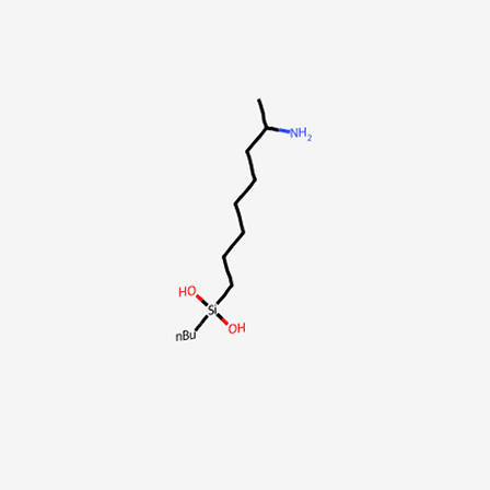 CCCC[Si](O)(O)CCCCCCC(C)N